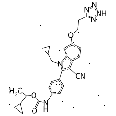 CC(OC(=O)Nc1ccc(-c2c(C#N)c3ccc(OCCc4nn[nH]n4)cc3n2CC2CC2)cc1)C1CC1